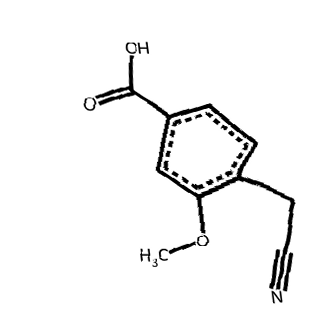 COc1cc(C(=O)O)ccc1CC#N